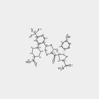 NC(=O)N1C[C@@H](c2ccc(O)cc2)[C@](F)(C(=O)N2CCC(c3ccc(C(F)(F)F)cc3N3CCC(C(=O)O)CC3)CC2)C1